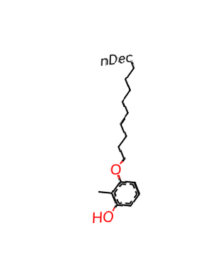 CCCCCCCCCCCCCCCCCCCOc1cccc(O)c1C